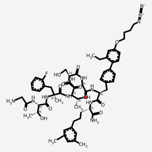 CCc1cc(OCCCCN=[N+]=[N-])ccc1-c1ccc(C[C@H](NC(=O)[C@H](CC(=O)O)NC(=O)[C@H](CO)NC(=O)[C@@H](NC(=O)[C@](C)(Cc2ccccc2F)NC(=O)[C@@H](NC(=O)CN)[C@@H](C)O)[C@@H](C)O)C(=O)N[C@@H](CCCc2cc(C)cc(C)c2)C(N)=O)cc1